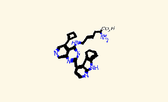 NC(CCCCNc1nc(-c2ccnc3[nH]c4ccccc4c23)nc2cncc(C3CCC3)c12)C(=O)O